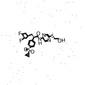 O=C(Nc1cnc(SCCO)cn1)[C@H](CC1CC(F)C(F)C1)c1ccc(S(=O)(=O)C2CC2)cc1